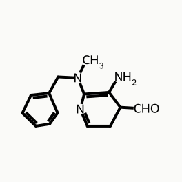 CN(Cc1ccccc1)C1=C(N)C(C=O)CC=N1